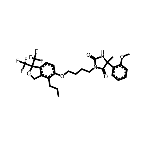 CCCc1c(OCCCCN2C(=O)NC(C)(c3ccccc3OC)C2=O)ccc2c1COC2(C(F)(F)F)C(F)(F)F